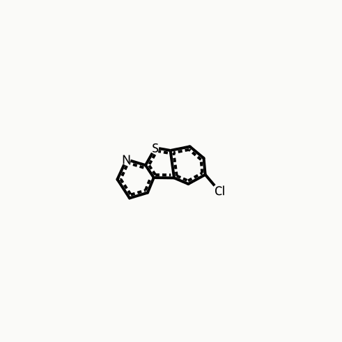 Clc1ccc2sc3ncccc3c2c1